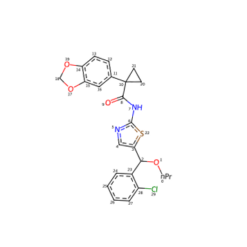 CCCOC(c1cnc(NC(=O)C2(c3ccc4c(c3)OCO4)CC2)s1)c1ccccc1Cl